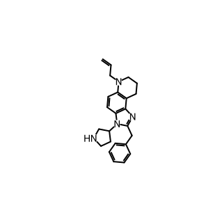 C=CCN1CCCc2c1ccc1c2nc(Cc2ccccc2)n1C1CCNC1